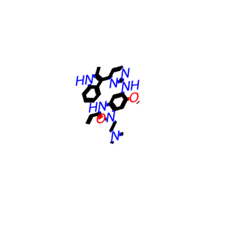 C=CC(=O)Nc1cc(Nc2nccc(-c3c(C)[nH]c4ccccc34)n2)c(OC)cc1N(C)CCN(C)C